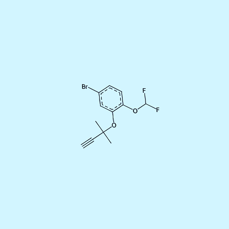 C#CC(C)(C)Oc1cc(Br)ccc1OC(F)F